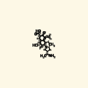 CCc1c(N2CC[C@@H]([C@H](C)N)C2)c(F)cc2cc(C(=O)O)c(=O)n(C3CC3)c12.Cl